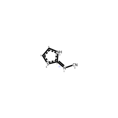 N#C/N=c1\[nH]ccs1